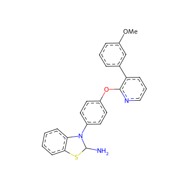 COc1cccc(-c2cccnc2Oc2ccc(N3c4ccccc4SC3N)cc2)c1